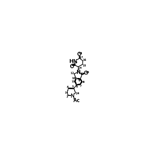 CC(=O)N1CCC=C(c2ccc3c(c2)CN(C2CCC(=O)NC2=O)C3=O)C1